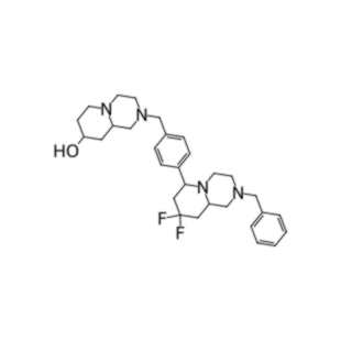 OC1CCN2CCN(Cc3ccc(C4CC(F)(F)CC5CN(Cc6ccccc6)CCN54)cc3)CC2C1